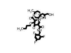 CCCCOc1c2n(cc(C(=O)NCc3c(F)cc(F)cc3F)c1=O)[C@@H]1CN(C2=O)[C@@H](C)CC[C@]12CC(CO)=NO2